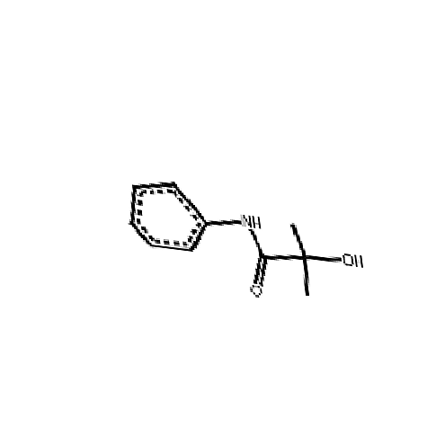 CC(C)(O)C(=O)Nc1cc[c]cc1